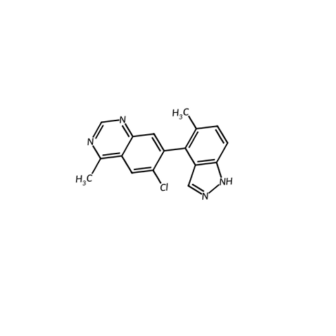 Cc1ccc2[nH]ncc2c1-c1cc2ncnc(C)c2cc1Cl